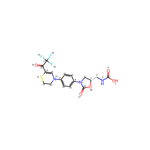 O=C(O)NC[C@H]1CN(c2ccc(N3C=C(C(=O)C(F)(F)F)SCC3)cc2)C(=O)O1